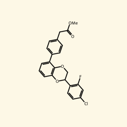 COC(=O)Cc1ccc(-c2cccc3c2OCC(c2ccc(Cl)cc2F)O3)cc1